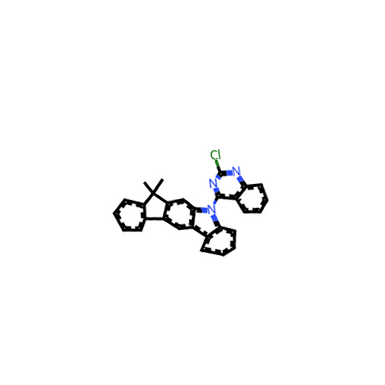 CC1(C)c2ccccc2-c2cc3c4ccccc4n(-c4nc(Cl)nc5ccccc45)c3cc21